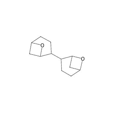 C1CC(C2CCC3CC2O3)C2CC1O2